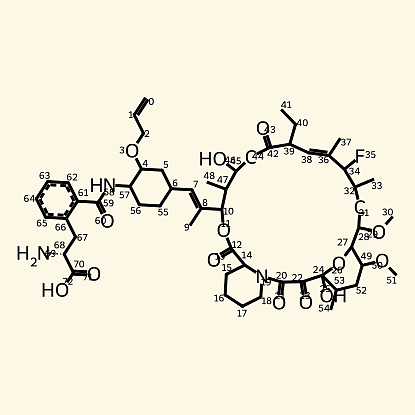 C=CCOC1CC(C=C(C)C2OC(=O)C3CCCCN3C(=O)C(=O)C3(O)OC(C(OC)CC(C)C(F)/C(C)=C/C(CC)C(=O)CC(O)C2C)C(OC)CC3C)CCC1NC(=O)c1ccccc1C[C@@H](N)C(=O)O